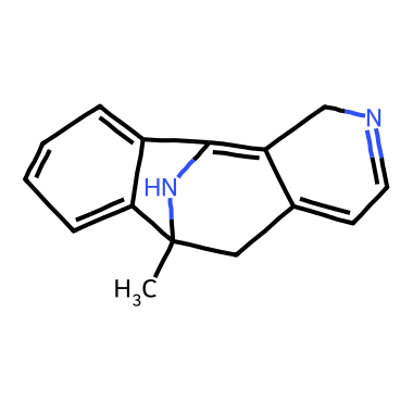 CC12CC3=CC=NCC3=C(N1)c1ccccc12